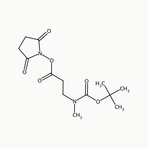 CN(CCC(=O)ON1C(=O)CCC1=O)C(=O)OC(C)(C)C